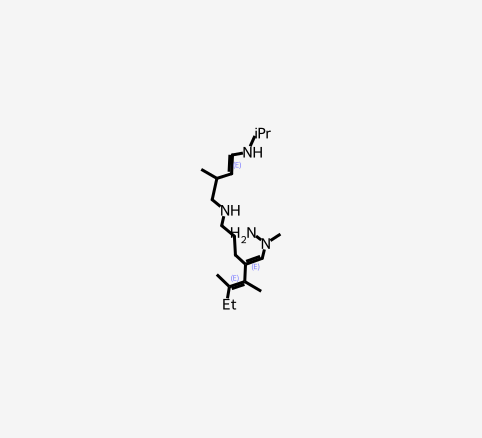 CC/C(C)=C(C)/C(=C/N(C)N)CCCNCC(C)/C=C/NC(C)C